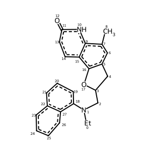 CCN(CC1Cc2cc(C)c3[nH]c(=O)ccc3c2O1)c1cccc2ccccc12